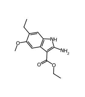 CCOC(=O)c1c(N)[nH]c2cc(CC)c(OC)cc12